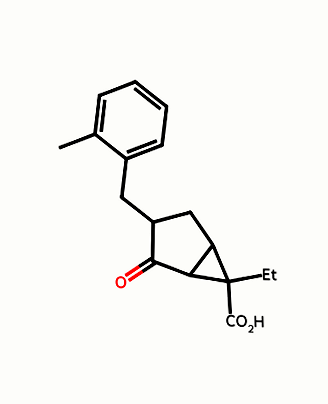 CCC1(C(=O)O)C2CC(Cc3ccccc3C)C(=O)C21